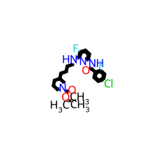 CC(C)(C)OC(=O)N1CCCC(CCCCNc2nc(NC(=O)c3ccc(Cl)cc3F)ccc2F)C1